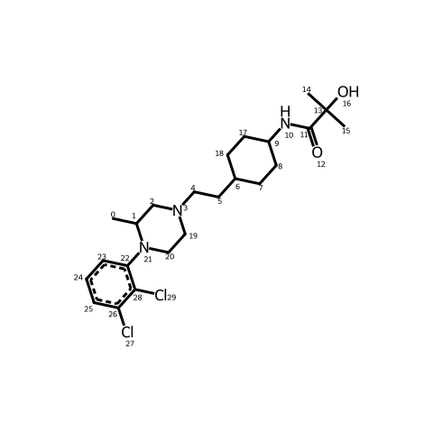 CC1CN(CCC2CCC(NC(=O)C(C)(C)O)CC2)CCN1c1cccc(Cl)c1Cl